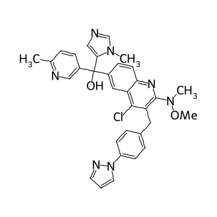 CON(C)c1nc2ccc(C(O)(c3ccc(C)nc3)c3cncn3C)cc2c(Cl)c1Cc1ccc(-n2cccn2)cc1